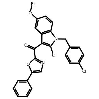 CCOc1ccc2c(c1)c(C(=O)c1ncc(-c3ccccc3)o1)c(Cl)n2Cc1ccc(Cl)cc1